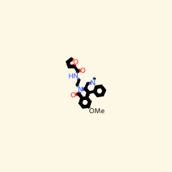 COc1ccc2c(=O)n(CCNC(=O)c3ccco3)c(CN(C)C)c(-c3ccccc3)c2c1